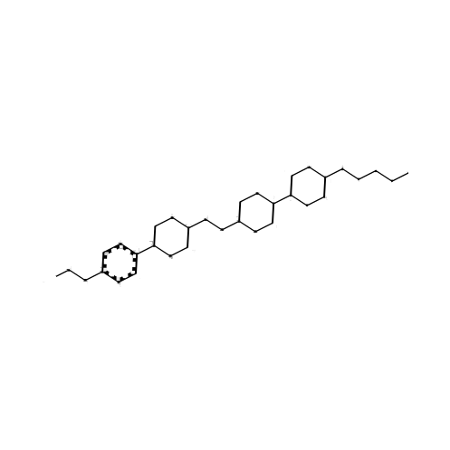 CCCCCC1CCC(C2CCC(CCC3CCC(c4ccc(CCF)cc4)CC3)CC2)CC1